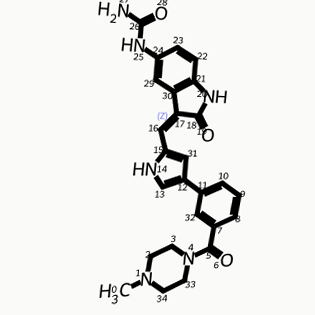 CN1CCN(C(=O)c2cccc(-c3c[nH]c(/C=C4\C(=O)Nc5ccc(NC(N)=O)cc54)c3)c2)CC1